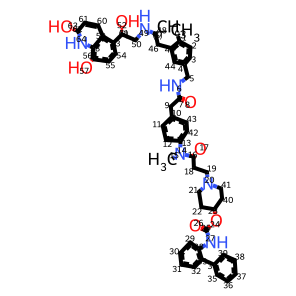 Cc1ccc(CNC(=O)Cc2ccc(N(C)C(=O)CCN3CCC(OC(=O)Nc4ccccc4-c4ccccc4)CC3)cc2)cc1C[C@H](C)NC[C@H](O)c1ccc(O)c2c1C=CC(O)N2